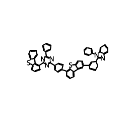 C1=CC(c2ccc3sc4c(-c5ccc(-c6nc(-c7ccccc7)nc(-c7cccc8sc9ccccc9c78)n6)cc5)cccc4c3c2)=CC(c2nc3ccccc3n2-c2ccccc2)C1